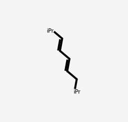 CC(C)C=CC=CCC(C)C